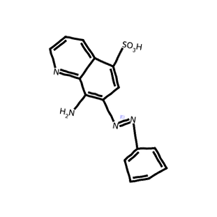 Nc1c(/N=N/c2ccccc2)cc(S(=O)(=O)O)c2cccnc12